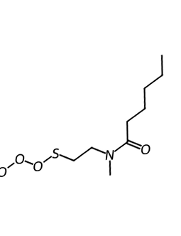 CCCCCC(=O)N(C)CCSOOO